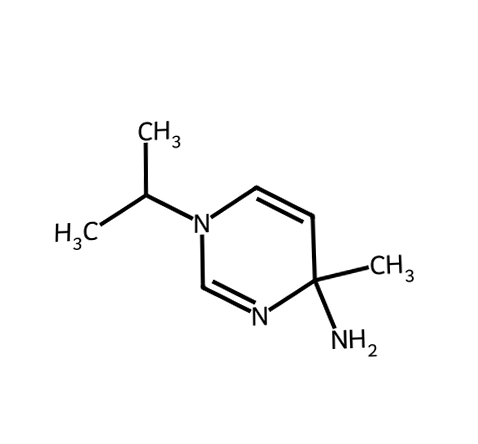 CC(C)N1C=CC(C)(N)N=C1